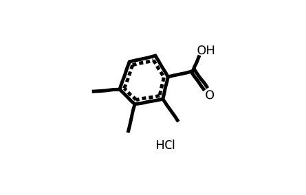 Cc1ccc(C(=O)O)c(C)c1C.Cl